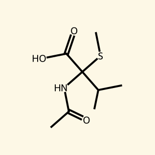 CSC(NC(C)=O)(C(=O)O)C(C)C